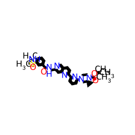 Cc1ccc(C(=O)NCc2cc3nc(-c4cccc(N5CCN(C(=O)OC(C)(C)C)C6(CC6)C5)n4)ccc3cn2)cc1S(C)(=N)=O